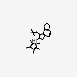 CC1=C(C)[C](C)([Hf][C]2=C(CC(C)(C)C)c3c(ccc4c3CCC4)C2)C(C)=C1C